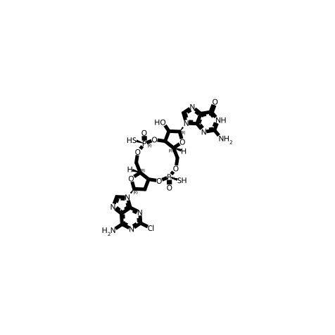 Nc1nc2c(ncn2[C@@H]2O[C@@H]3CO[P@@](=O)(S)OC4C[C@H](n5cnc6c(N)nc(Cl)nc65)O[C@@H]4CO[P@@](=O)(S)OC3C2O)c(=O)[nH]1